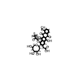 COc1cccc2c1C(=O)c1c(c(O)c3cc([CH]C(=O)O)c([C@@H]4CC[C@H](O)[C@H](O)C[C@@H](O)CO4)c(ONC(=O)C(F)(F)F)c3c1O)C2=O